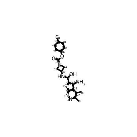 Cc1nnc2sc(C(O)NC3CN(C(=O)Oc4ccc(Cl)cc4)C3)c(N)c2c1C